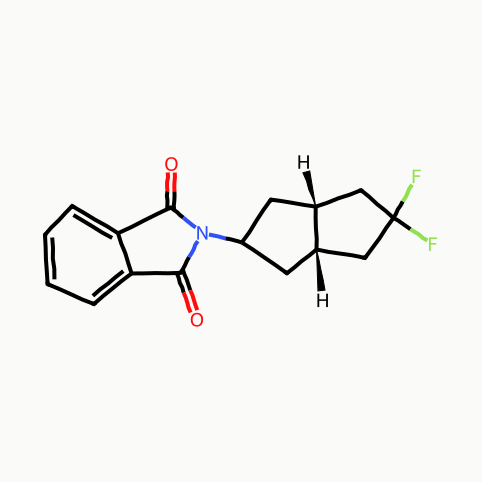 O=C1c2ccccc2C(=O)N1C1C[C@@H]2CC(F)(F)C[C@@H]2C1